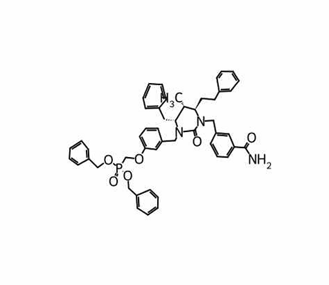 C[C@@H]1[C@@H](CCc2ccccc2)N(Cc2cccc(C(N)=O)c2)C(=O)N(Cc2cccc(OCP(=O)(OCc3ccccc3)OCc3ccccc3)c2)[C@@H]1Cc1ccccc1